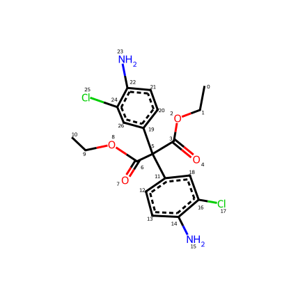 CCOC(=O)C(C(=O)OCC)(c1ccc(N)c(Cl)c1)c1ccc(N)c(Cl)c1